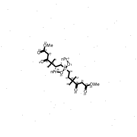 CCC[O][Zr]([CH2]CC(C)(C)C(=O)CC(=O)OC)([CH2]CC(C)(C)C(=O)CC(=O)OC)[O]CCC